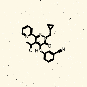 CC(=O)c1c(-c2ccccn2)nn(CC2CC2)c(=O)c1Nc1cccc(C#N)c1